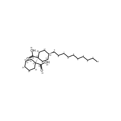 CCCCCCCCCC[C@H]1CC[C@](C(=O)O)(C2(C(=O)O)CCCCC2)CC1